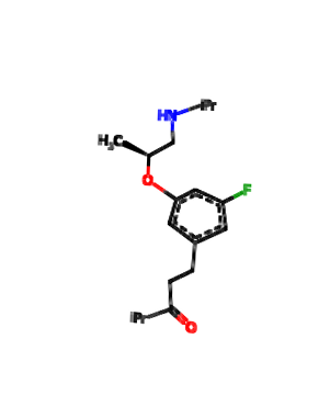 CC(C)NC[C@H](C)Oc1cc(F)cc(CCC(=O)C(C)C)c1